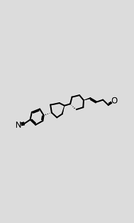 N#Cc1ccc([C@H]2CC[C@H]([C@H]3CC[C@H](C=CCC=O)CC3)CC2)cc1